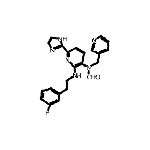 O=CN(Cc1cccnc1)c1ccc(C2=NCCN2)nc1NCCc1cccc(F)c1